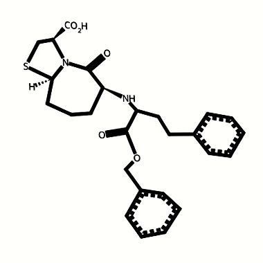 O=C(OCc1ccccc1)C(CCc1ccccc1)N[C@H]1CCC[C@H]2SC[C@@H](C(=O)O)N2C1=O